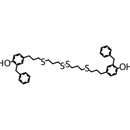 Oc1ccc(CCCSCCCSSCCCSCCCc2ccc(O)c(Cc3ccccc3)c2)cc1Cc1ccccc1